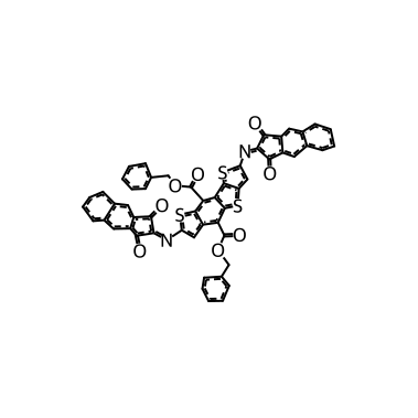 O=C(OCc1ccccc1)c1c2cc(N=c3c(=O)c4cc5ccccc5cc4c3=O)sc2c(C(=O)OCc2ccccc2)c2c1sc1cc(N=c3c(=O)c4cc5ccccc5cc4c3=O)sc12